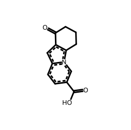 O=C(O)c1ccc2cc3c(n2c1)CCCC3=O